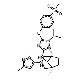 Cc1cc(N2C[C@H]3CC[C@@H](C2)[C@H]3Nc2nc(Oc3ccc(S(C)(=O)=O)cc3)n(C(C)C)n2)sn1